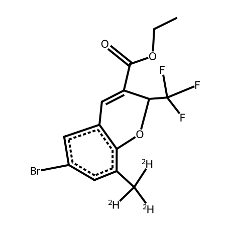 [2H]C([2H])([2H])c1cc(Br)cc2c1OC(C(F)(F)F)C(C(=O)OCC)=C2